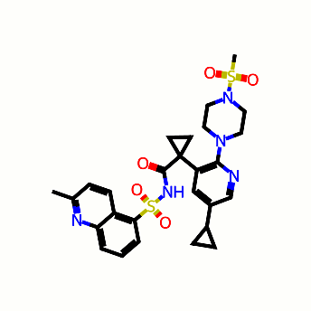 Cc1ccc2c(S(=O)(=O)NC(=O)C3(c4cc(C5CC5)cnc4N4CCN(S(C)(=O)=O)CC4)CC3)cccc2n1